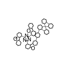 c1ccc2c(c1)-c1ccccc1C21c2ccccc2-c2c(-c3ccc(-c4ccc5oc6cccc(-c7nc(-c8cccc9c8oc8ccccc89)nc(-c8cccc9oc%10ccccc%10c89)n7)c6c5c4)cc3)cccc21